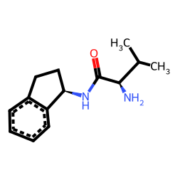 CC(C)[C@@H](N)C(=O)N[C@@H]1CCc2ccccc21